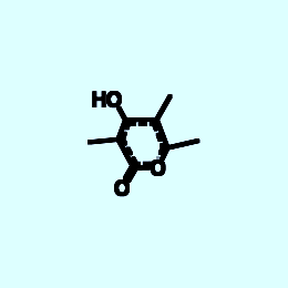 Cc1oc(=O)c(C)c(O)c1C